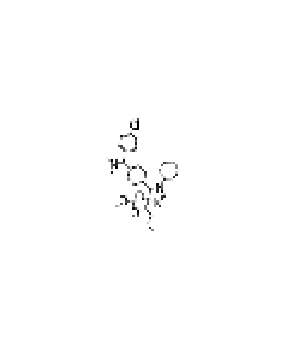 CCCCC1(OC(=O)OC)N=CN(C2CCCCC2)C1C1CCC(C(c2ccc(Cl)cc2)N(C)C)CC1